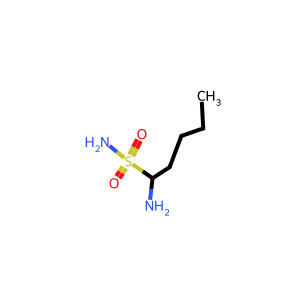 CCCCC(N)S(N)(=O)=O